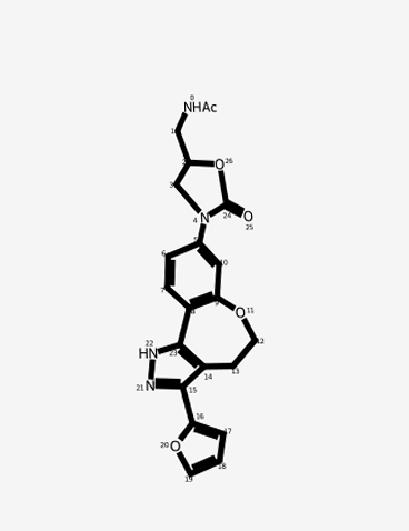 CC(=O)NCC1CN(c2ccc3c(c2)OCCc2c(-c4ccco4)n[nH]c2-3)C(=O)O1